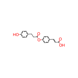 O=C(O)/C=C/c1ccc(OC(=O)CCc2ccc(O)cc2)cc1